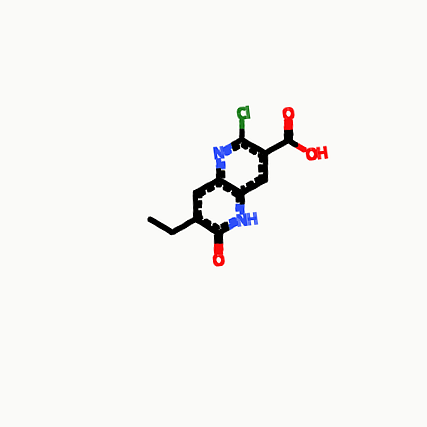 CCc1cc2nc(Cl)c(C(=O)O)cc2[nH]c1=O